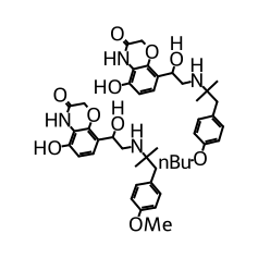 CCCCOc1ccc(CC(C)(C)NCC(O)c2ccc(O)c3c2OCC(=O)N3)cc1.COc1ccc(CC(C)(C)NCC(O)c2ccc(O)c3c2OCC(=O)N3)cc1